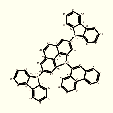 c1ccc2c(c1)cc(-n1c3cc(-n4c5ccccc5c5ccccc54)cc4ccc5cc(-n6c7ccccc7c7ccccc76)cc1c5c43)c1ccccc12